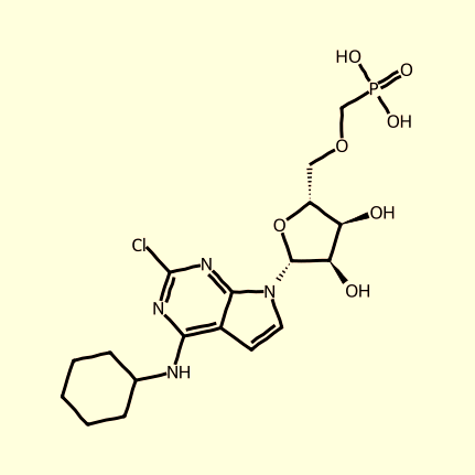 O=P(O)(O)COC[C@H]1O[C@@H](n2ccc3c(NC4CCCCC4)nc(Cl)nc32)[C@H](O)[C@@H]1O